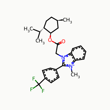 CC(C)[C@@H]1CC[C@@H](C)C[C@H]1OC(=O)Cn1c(-c2ccc(C(F)(F)F)cc2)[n+](C)c2ccccc21